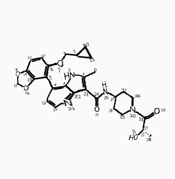 Cc1[nH]c2c(-c3c(OCC4CC4)ccc4c3OCO4)ccnc2c1C(=O)NC1CCN(C(=O)[C@H](C)O)CC1